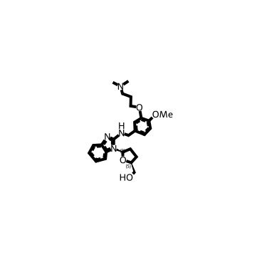 COc1ccc(CNc2nc3ccccc3n2[C@H]2CC[C@@H](CO)O2)cc1OCCCN(C)C